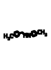 Cc1ccc(CCCNc2ccc(C)cc2)cc1